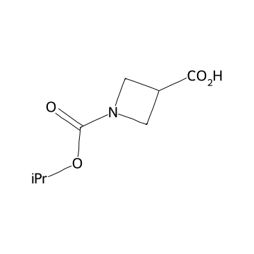 CC(C)OC(=O)N1CC(C(=O)O)C1